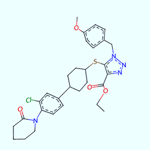 CCOC(=O)c1nnn(Cc2ccc(OC)cc2)c1SC1CCC(c2ccc(N3CCCCC3=O)c(Cl)c2)CC1